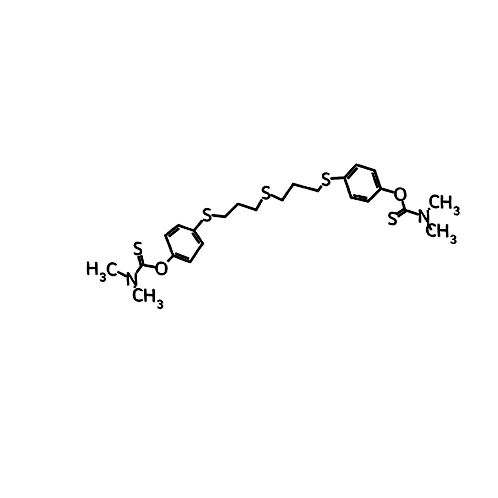 CN(C)C(=S)Oc1ccc(SCCCSCCCSc2ccc(OC(=S)N(C)C)cc2)cc1